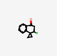 O=C1CC(F)C2(CC2)c2ccccc21